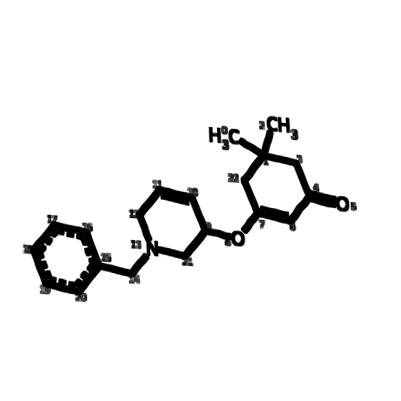 CC1(C)CC(=O)C=C(OC2C=CCN(Cc3ccccc3)C2)C1